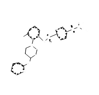 CN(C)S(=O)(=O)c1ccc(S(=O)(=O)Nc2cccc(F)c2N2CCC(Oc3ccccn3)CC2)cc1